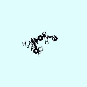 Nc1ncc(-c2ccc(C(=O)NCCCN3CCCC3)cc2)nc1OCc1c(F)ccc(F)c1Cl